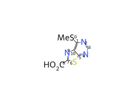 CSc1ncnc2sc(C(=O)O)nc12